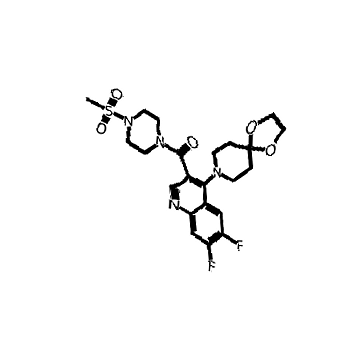 CS(=O)(=O)N1CCN(C(=O)c2cnc3cc(F)c(F)cc3c2N2CCC3(CC2)OCCO3)CC1